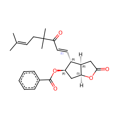 CC(C)=CCC(C)(C)C(=O)/C=C/[C@@H]1[C@H]2CC(=O)O[C@H]2C[C@H]1OC(=O)c1ccccc1